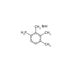 Br.Cc1ccc(P)c(C)c1C